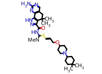 CNC(NC(=O)c1n[nH]c2c1C(C)(C)Cc1cnc(N)nc1-2)S/C=C/COC1CCN(C2CCC(C)(C)CC2)CC1